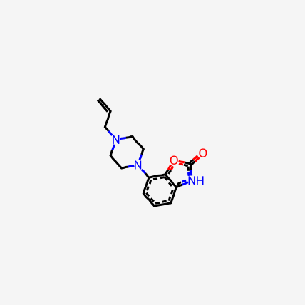 C=CCN1CCN(c2cccc3[nH]c(=O)oc23)CC1